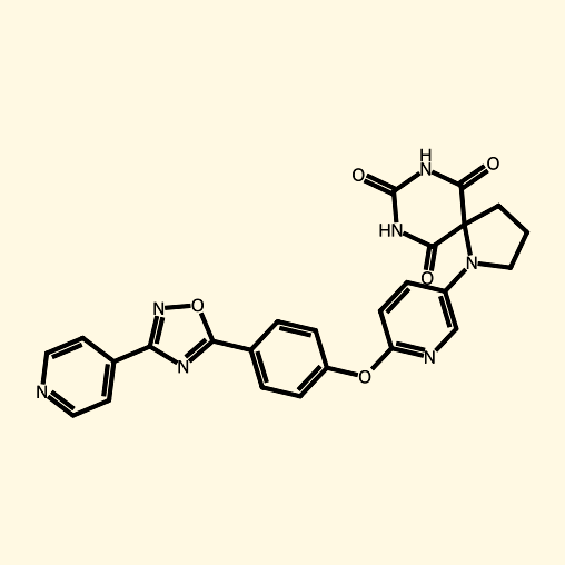 O=C1NC(=O)C2(CCCN2c2ccc(Oc3ccc(-c4nc(-c5ccncc5)no4)cc3)nc2)C(=O)N1